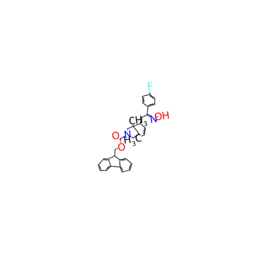 C\C=C/C(=C\C(=N\O)c1ccc(F)cc1)C1(C)CCN(C(=O)OCC2c3ccccc3-c3ccccc32)C1